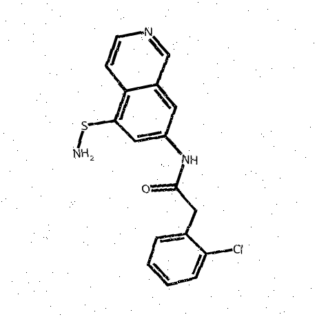 NSc1cc(NC(=O)Cc2ccccc2Cl)cc2cnccc12